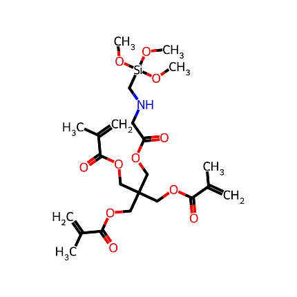 C=C(C)C(=O)OCC(COC(=O)CNC[Si](OC)(OC)OC)(COC(=O)C(=C)C)COC(=O)C(=C)C